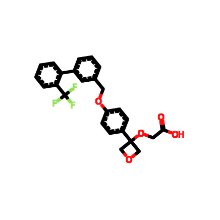 O=C(O)COC1(c2ccc(OCc3cccc(-c4ccccc4C(F)(F)F)c3)cc2)COC1